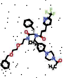 CC(=O)N1CCN(c2ccc(CN(C(=O)C=Cc3ccc(C(F)(F)F)nc3)[C@@H](Cc3ccccc3)C(=O)N(C)CCOCCOCc3ccccc3)cc2)CC1